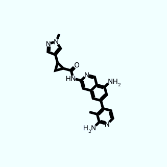 Cc1c(-c2cc(N)c3cnc(NC(=O)C4CC4c4cnn(C)c4)cc3c2)ccnc1N